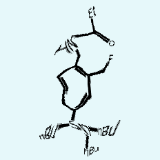 CCC[CH2][Sn]([CH2]CCC)([CH2]CCC)[c]1ccc(NC(=O)CC)c(F)c1